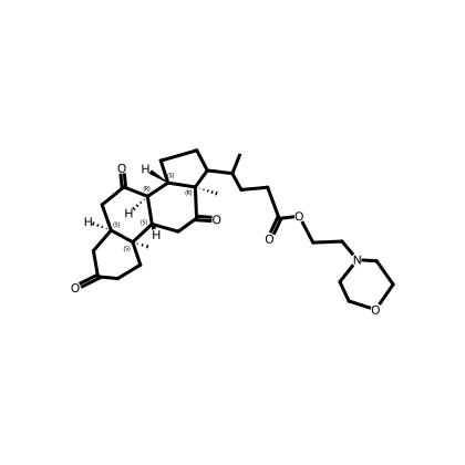 CC(CCC(=O)OCCN1CCOCC1)C1CC[C@H]2[C@@H]3C(=O)C[C@@H]4CC(=O)CC[C@]4(C)[C@H]3CC(=O)[C@]12C